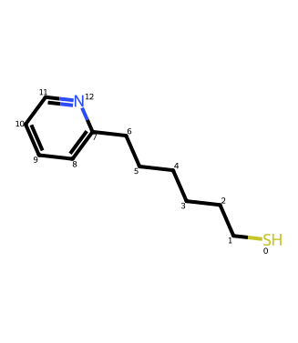 SCCCCCCc1ccccn1